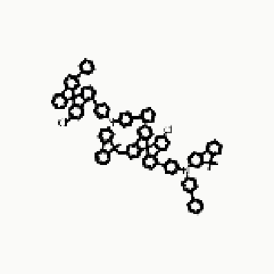 CC1(C)c2ccccc2-c2ccc(N(c3ccc(-c4ccccc4)cc3)c3ccc(-c4cccc5c4-c4ccc(Cl)cc4C54c5ccccc5-c5cc(CC6(C)c7ccccc7-c7ccc(N(c8ccc(-c9ccccc9)cc8)c8ccc(-c9cccc%10c9-c9ccc(Cl)cc9C%109c%10ccccc%10-c%10ccc(-c%11ccccc%11)cc%109)cc8)cc76)ccc54)cc3)cc21